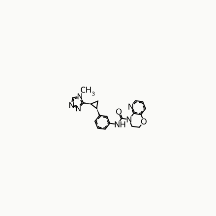 Cn1cnnc1[C@H]1C[C@H]1c1cccc(NC(=O)N2CCOc3cccnc32)c1